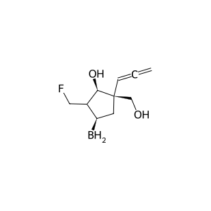 B[C@@H]1C[C@](C=C=C)(CO)[C@H](O)C1CF